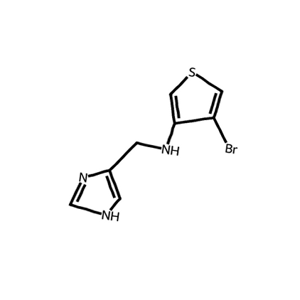 Brc1cscc1NCc1c[nH]cn1